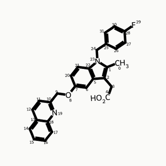 Cc1c(CC(=O)O)c2cc(OCc3ccc4ccccc4n3)ccc2n1Cc1ccc(F)cc1